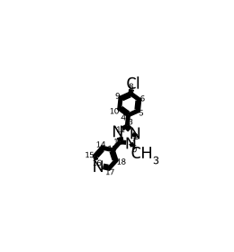 Cn1nc(-c2ccc(Cl)cc2)nc1-c1ccncc1